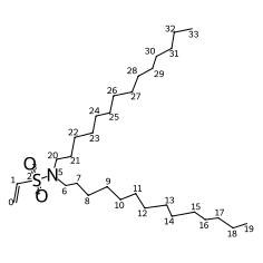 C=CS(=O)(=O)N(CCCCCCCCCCCCCC)CCCCCCCCCCCCCC